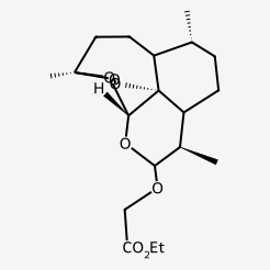 CCOC(=O)COC1O[C@@H]2O[C@]3(C)CCC4[C@H](C)CCC([C@H]1C)[C@]42OO3